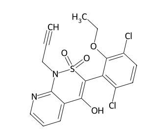 C#CCN1c2ncccc2C(O)=C(c2c(Cl)ccc(Cl)c2OCC)S1(=O)=O